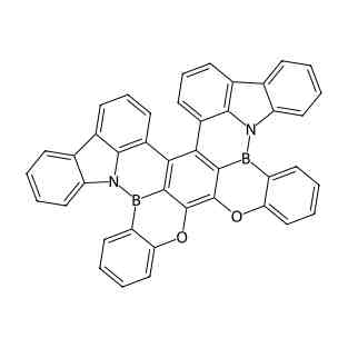 c1ccc2c(c1)Oc1c3c4c(c5c1B2n1c2ccccc2c2cccc-5c21)-c1cccc2c5ccccc5n(c12)B4c1ccccc1O3